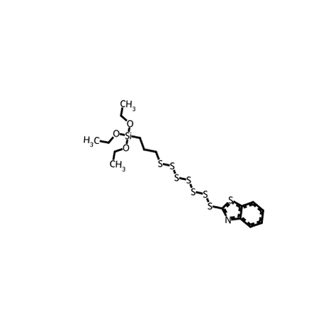 CCO[Si](CCCSSSSSSSc1nc2ccccc2s1)(OCC)OCC